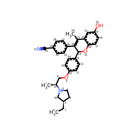 CC[C@@H]1CCN([C@@H](C)COc2ccc(C3Oc4ccc(O)cc4C(C)=C3c3ccc(C#N)cc3)cc2)C1